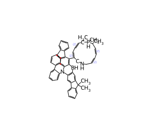 CC1/C=C\C=C/CNC/C(c2c3c(cc4c2-c2ccccc2C4)N(c2ccccc2-c2ccccc2)c2cc4c(cc2B3)C(C)(C)c2ccccc2-4)=C\C=C/C[PH]1(C)C